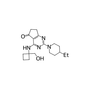 CCC1CCN(c2nc3c(c(NC4(CO)CCC4)n2)C(=O)CC3)CC1